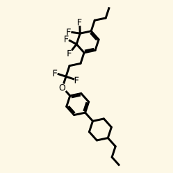 CCCC1=CC=C(CCC(F)(F)Oc2ccc(C3CCC(CCC)CC3)cc2)C(F)(F)C1(F)F